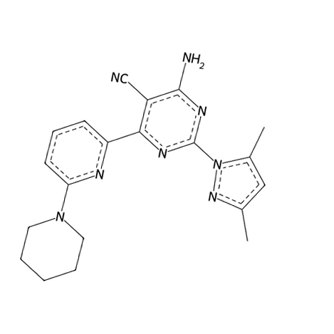 Cc1cc(C)n(-c2nc(N)c(C#N)c(-c3cccc(N4CCCCC4)n3)n2)n1